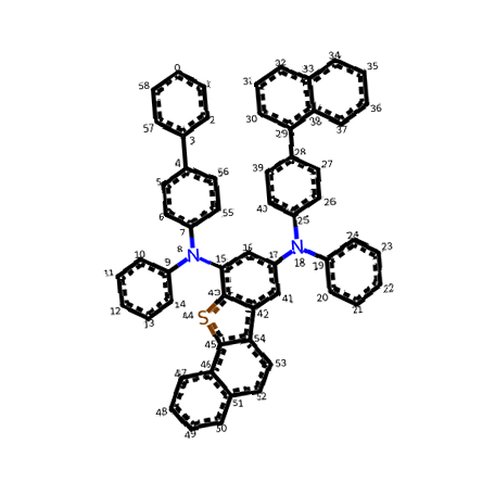 c1ccc(-c2ccc(N(c3ccccc3)c3cc(N(c4ccccc4)c4ccc(-c5cccc6ccccc56)cc4)cc4c3sc3c5ccccc5ccc43)cc2)cc1